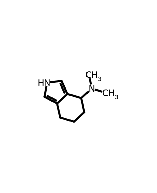 CN(C)C1CCCc2c[nH]cc21